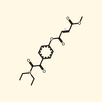 CCN(CC)C(=O)C(=O)c1ccc(OC(=O)/C=C/C(=O)OC)cc1